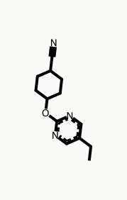 CCc1cnc(OC2CCC(C#N)CC2)nc1